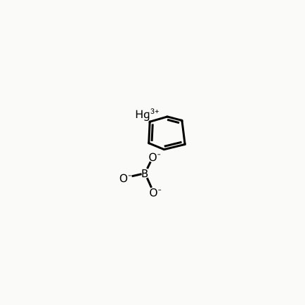 [Hg+3].[O-]B([O-])[O-].c1ccccc1